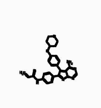 C=CC(=O)Nc1ccc(-c2nn3ncnc(N)c3c2-c2ccc(OC3CCOCC3)cc2)cc1